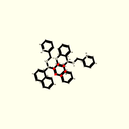 c1ccc(COB(c2ccccc2Oc2ccccc2B(OCc2ccccn2)c2cccc3ccccc23)c2cccc3ccccc23)nc1